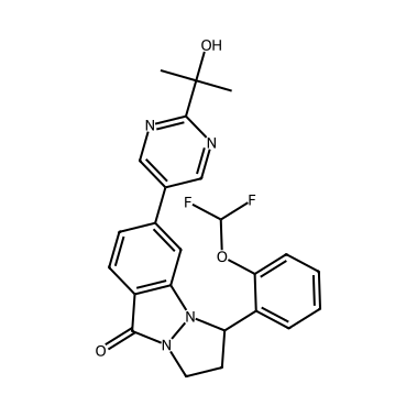 CC(C)(O)c1ncc(-c2ccc3c(=O)n4n(c3c2)C(c2ccccc2OC(F)F)CC4)cn1